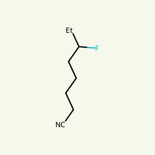 CCC(F)CCCCC#N